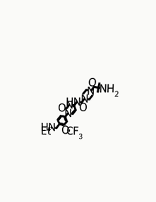 CCNCc1ccc(-n2ccc(NC(=O)N3CCN(C(=O)C(C)(C)N)CC3)nc2=O)cc1OC(F)(F)F